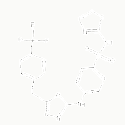 O=S(=O)(Nc1nccs1)c1ccc(Nc2nnc(Cc3ccc(C(F)(F)F)cc3)o2)cc1